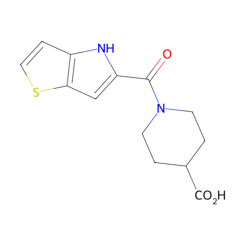 O=C(O)C1CCN(C(=O)c2cc3sccc3[nH]2)CC1